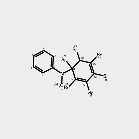 CN(c1ccccc1)C1(Br)C(Br)=C(Br)C(Br)=C(Br)C1Br